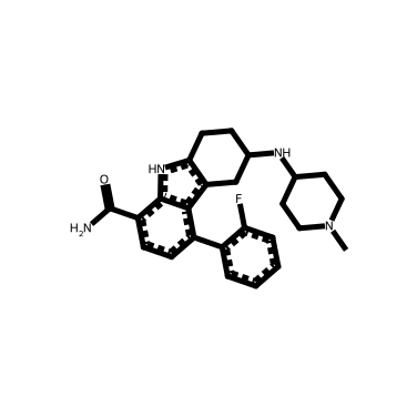 CN1CCC(NC2CCc3[nH]c4c(C(N)=O)ccc(-c5ccccc5F)c4c3C2)CC1